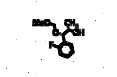 COCO[C@@H](c1ccccc1F)[C@H](C)O